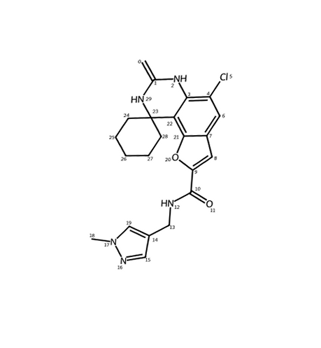 C=C1Nc2c(Cl)cc3cc(C(=O)NCc4cnn(C)c4)oc3c2C2(CCCCC2)N1